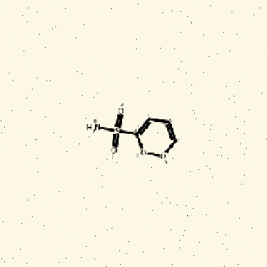 NS(=O)(=O)C1=CC=COO1